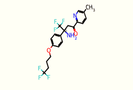 Cc1ccc(C(=O)C[C@](N)(c2ccc(OCCCC(F)(F)F)cc2)C(F)(F)F)nc1